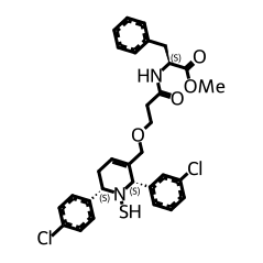 COC(=O)[C@H](Cc1ccccc1)NC(=O)CCOCC1=CC[C@@H](c2ccc(Cl)cc2)N(S)[C@H]1c1cccc(Cl)c1